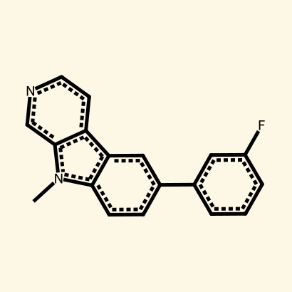 Cn1c2ccc(-c3cccc(F)c3)cc2c2ccncc21